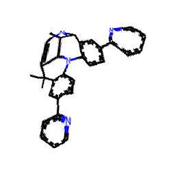 CC1C2=NC=C3C1N(c1ccc(-c4ccccn4)cc12)c1ccc(-c2ccccn2)cc1C3(C)C